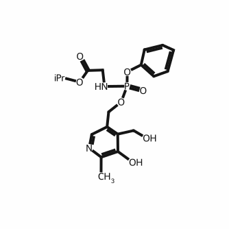 Cc1ncc(COP(=O)(NCC(=O)OC(C)C)Oc2ccccc2)c(CO)c1O